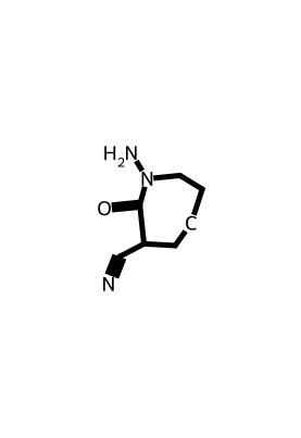 N#CC1CCCCN(N)C1=O